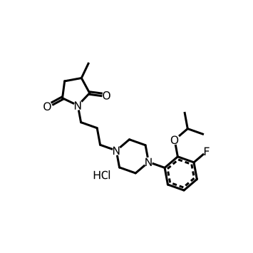 CC(C)Oc1c(F)cccc1N1CCN(CCCN2C(=O)CC(C)C2=O)CC1.Cl